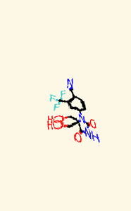 N#Cc1ccc(N2C(=O)NC(=O)C2(CO)CO)cc1C(F)(F)F